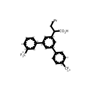 CC(C)CC(C(=O)O)c1cc(-c2ccc(C(F)(F)F)cc2)cc(-c2cccc(C(F)(F)F)c2)c1